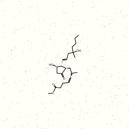 CCCCC(C)(O)C/C=C/[C@H]1[C@H](O)CC(=O)[C@@H]1CC(C)=C=CCCC(=O)OC